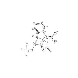 C=CCC1(C(=O)OCC(C)(C)C)N(C(=O)O)c2ccccc2C1(C)C